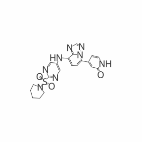 O=c1cc(-c2ccc(Nc3cnc(S(=O)(=O)N4CCCCC4)nc3)c3ncnn23)cc[nH]1